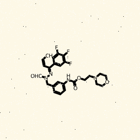 C/C=C\C(=N/N(C=O)Cc1cccc(NC(=O)OCCN2CCOCC2)c1)c1cc(F)c(F)c(F)c1